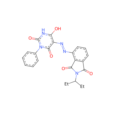 CCC(CC)N1C(=O)c2cccc(N=Nc3c(O)[nH]c(=O)n(-c4ccccc4)c3=O)c2C1=O